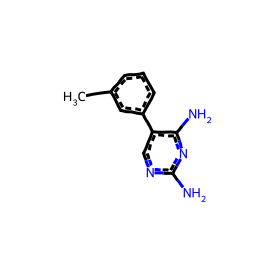 Cc1cccc(-c2cnc(N)nc2N)c1